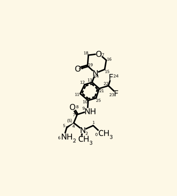 CCN(C)[C@@H](CN)C(=O)Nc1ccc(N2CCOCC2=O)c(C(F)F)c1